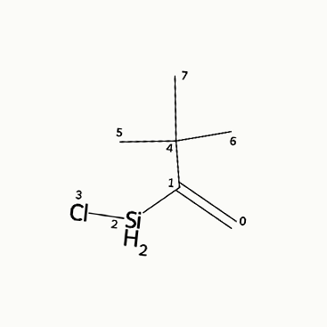 C=C([SiH2]Cl)C(C)(C)C